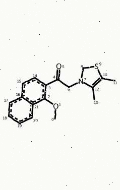 COc1c(C(=O)CN2CSC(C)=C2C)ccc2ccccc12